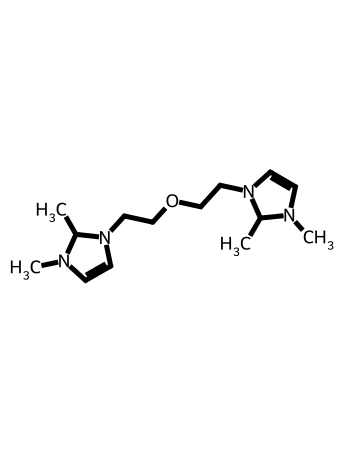 CC1N(C)C=CN1CCOCCN1C=CN(C)C1C